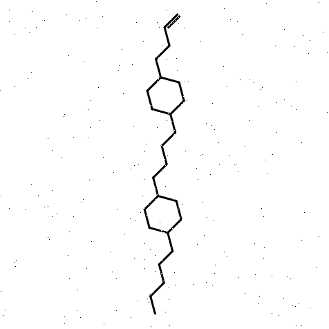 C=CCCC1CCC(CCCCC2CCC(CCCCC)CC2)CC1